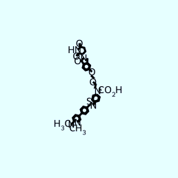 CN(C)c1ccc(-c2ccc(-c3nc4ccc(N(CCOCCOc5ccc6c(c5)CN(C5CCC(=O)NC5=O)C6=O)C(=O)O)cc4s3)cc2)cn1